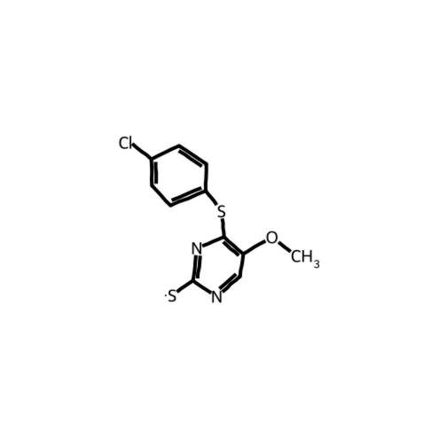 COc1cnc([S])nc1Sc1ccc(Cl)cc1